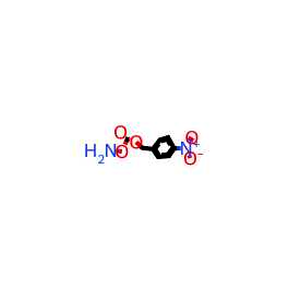 NOC(=O)OCc1ccc([N+](=O)[O-])cc1